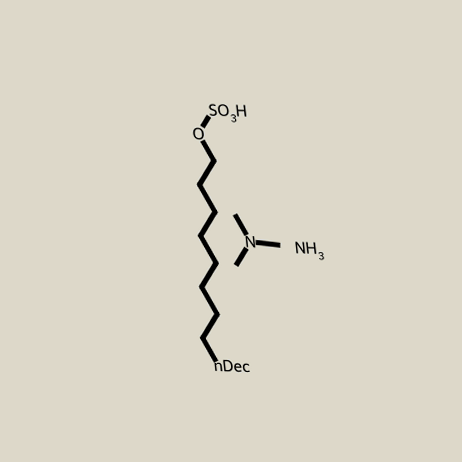 CCCCCCCCCCCCCCCCCCOS(=O)(=O)O.CN(C)C.N